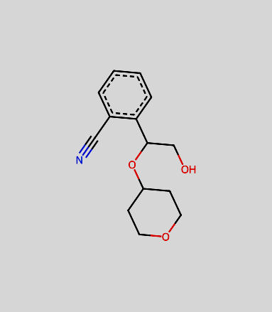 N#Cc1ccccc1C(CO)OC1CCOCC1